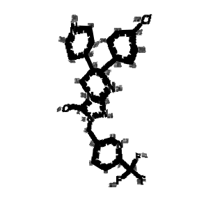 O=c1n(Cc2ccc(C(F)(F)F)nc2)nc2nc(-c3ccc(Cl)cc3)c(-c3ccncc3)cn12